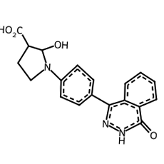 O=C(O)C1CCN(c2ccc(-c3n[nH]c(=O)c4ccccc34)cc2)C1O